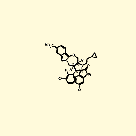 O=C(O)c1ccc2c3n(nc2c1)C[C@@H]1[C@H](CO3)N(CCC2CC2)[C@@]2(C(=O)Nc3cc(Cl)ccc32)[C@H]1c1cccc(Cl)c1F